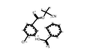 CC(C)(C#N)OC(=S)c1ccc(Cl)cc1.OC(=S)c1ccccc1